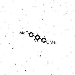 COc1ccc(-c2[c]c(C)c(-c3ccc(OC)cc3)c(C)c2C)cc1